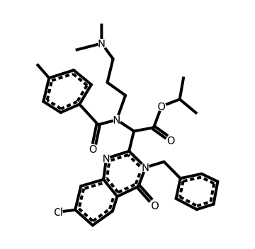 Cc1ccc(C(=O)N(CCCN(C)C)C(C(=O)OC(C)C)c2nc3cc(Cl)ccc3c(=O)n2Cc2ccccc2)cc1